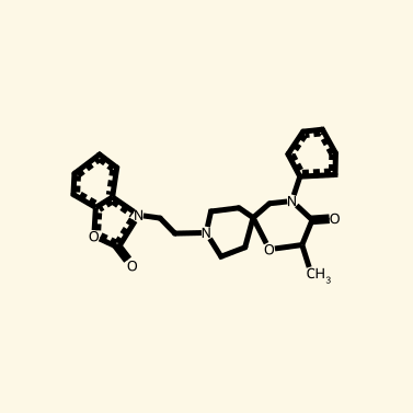 CC1OC2(CCN(CCn3c(=O)oc4ccccc43)CC2)CN(c2ccccc2)C1=O